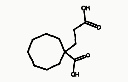 O=C(O)CCC1(C(=O)O)CCCCCCC1